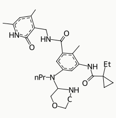 CCCN(c1cc(NC(=O)C2(CC)CC2)c(C)c(C(=O)NCc2c(C)cc(C)[nH]c2=O)c1)C1COCCN1